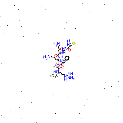 CC(C)[C@H](NC(=O)[C@H](Cc1ccccc1)NC(=O)[C@H](CCCCN)NC(=O)[C@H](CCCCN)NC(=O)CNC(=O)[C@@H](N)CS)C(=O)N[C@@H](CCCNC(=N)N)C(=O)O